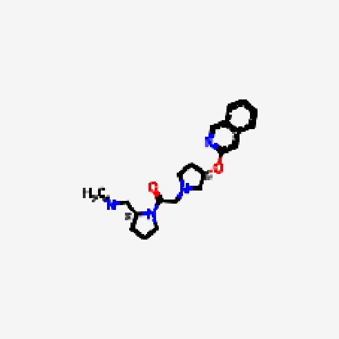 C=NC[C@@H]1CCCN1C(=O)CN1CC[C@H](Oc2cc3ccccc3cn2)C1